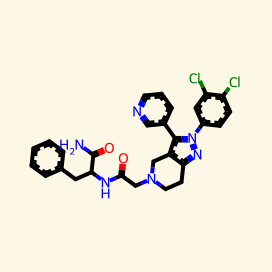 NC(=O)C(Cc1ccccc1)NC(=O)CN1CCc2nn(-c3ccc(Cl)c(Cl)c3)c(-c3cccnc3)c2C1